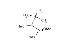 CCCCCCC([SiH](OC)OC)[Si](C)(C)C